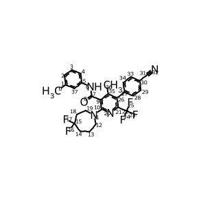 Cc1cccc(NC(=O)c2c(N3CCCC(F)(F)CC3)nc(C(F)(F)F)c(-c3ccc(C#N)cc3)c2C)c1